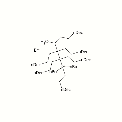 CCCCCCCCCCCCC(C)C(CCCCCCCCCCCC)(CCCCCCCCCCCC)C(CCCCCCCCCCCC)(CCCCCCCCCCCC)[P+](CCCC)(CCCC)CCCCCCCCCCCC.[Br-]